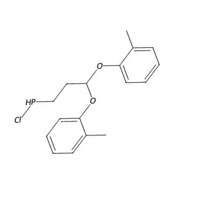 Cc1ccccc1OC(CCPCl)Oc1ccccc1C